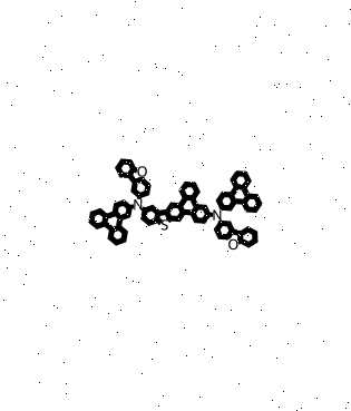 c1ccc2c(c1)oc1ccc(N(c3ccc4sc5cc6c7ccc(N(c8ccc9oc%10ccccc%10c9c8)c8ccc9c%10ccccc%10c%10ccccc%10c9c8)cc7c7ccccc7c6cc5c4c3)c3ccc4c5ccccc5c5ccccc5c4c3)cc12